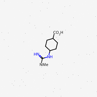 CNC(=N)NC1CCC(C(=O)O)CC1